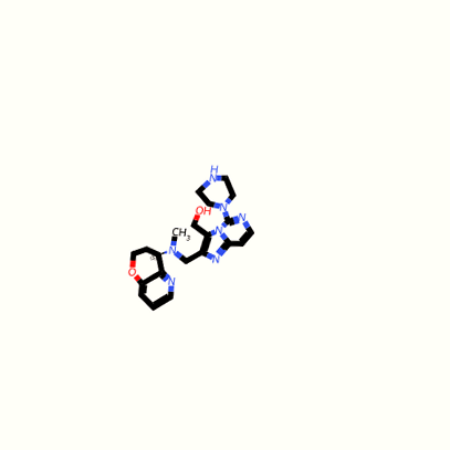 CN(Cc1nc2ccnc(N3CCNCC3)n2c1CO)[C@H]1CCOc2cccnc21